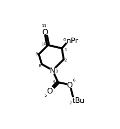 CCCC1CN(C(=O)OC(C)(C)C)CCC1=O